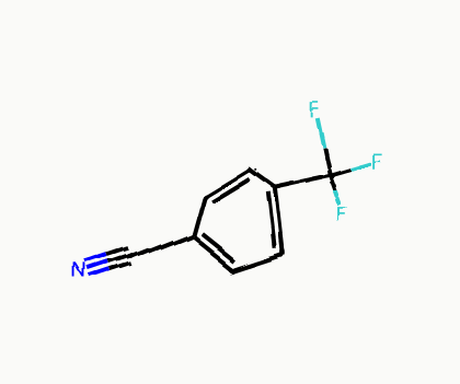 N#Cc1c[c]c(C(F)(F)F)cc1